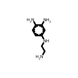 NCCNc1ccc(N)c(N)c1